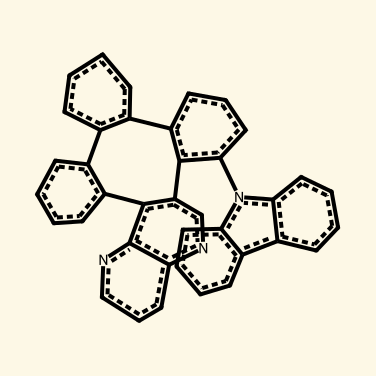 c1ccc2c(c1)-c1ccccc1-c1c(cnc3cccnc13)-c1c-2cccc1-n1c2ccccc2c2ccccc21